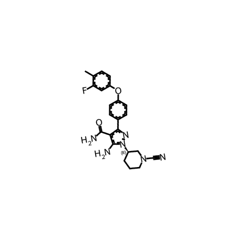 Cc1ccc(Oc2ccc(-c3nn([C@@H]4CCCN(C#N)C4)c(N)c3C(N)=O)cc2)cc1F